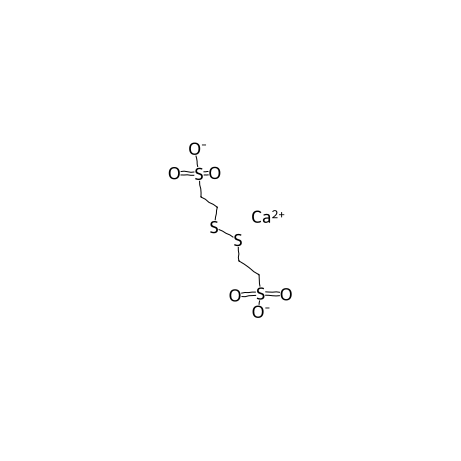 O=S(=O)([O-])CCSSCCS(=O)(=O)[O-].[Ca+2]